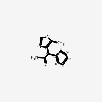 Cc1scnc1C(C(N)=O)c1ccccc1